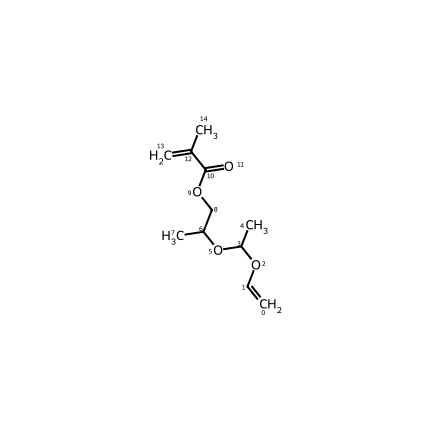 C=COC(C)OC(C)COC(=O)C(=C)C